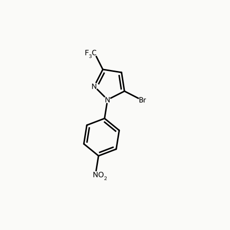 O=[N+]([O-])c1ccc(-n2nc(C(F)(F)F)cc2Br)cc1